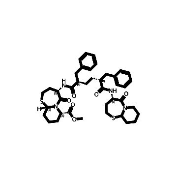 COC(=O)[C@@H]1CCC[C@@H]2SCC[C@H](NC(=O)[C@H](CC[C@H](Cc3ccccc3)C(=O)N[C@H]3CCSC4CCCCN4C3=O)Cc3ccccc3)C(=O)N21